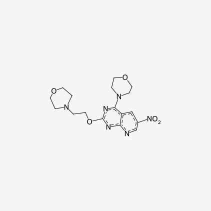 O=[N+]([O-])c1cnc2nc(OCCN3CCOCC3)nc(N3CCOCC3)c2c1